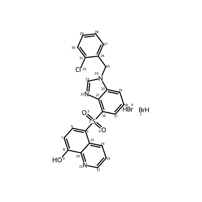 Br.Br.O=S(=O)(c1ccc(O)c2ncccc12)c1cccc2c1ncn2Cc1ccccc1Cl